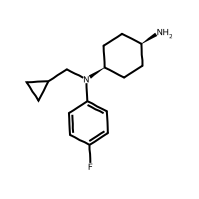 N[C@H]1CC[C@@H](N(CC2CC2)c2ccc(F)cc2)CC1